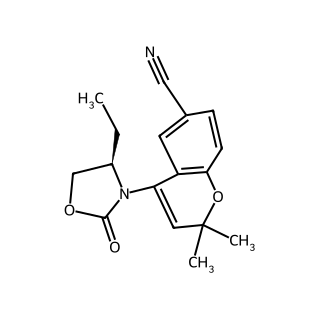 CC[C@@H]1COC(=O)N1C1=CC(C)(C)Oc2ccc(C#N)cc21